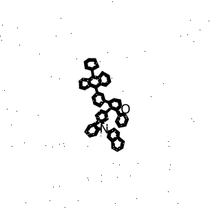 c1ccc(-c2c3ccccc3c(-c3cccc(-c4ccc5oc6ccccc6c5c4-c4ccc5c6ccccc6n(-c6ccc7ccccc7c6)c5c4)c3)c3ccccc23)cc1